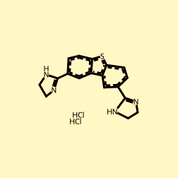 Cl.Cl.c1cc2sc3ccc(C4=NCCN4)cc3c2cc1C1=NCCN1